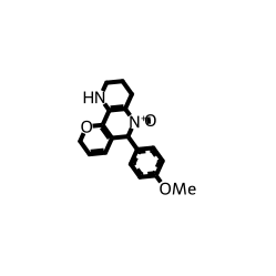 COc1ccc(C2C3=C(OCC=C3)C3=C(CCCN3)[N+]2=O)cc1